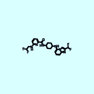 O=C(NC1CCC(Nc2cccc3nc(C(F)F)cn23)CC1)c1cccc(NCC(F)F)n1